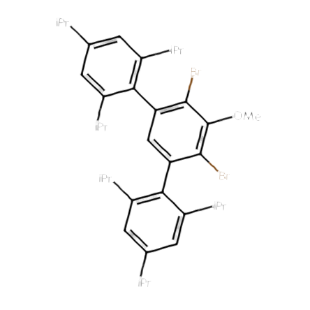 COc1c(Br)c(-c2c(C(C)C)cc(C(C)C)cc2C(C)C)cc(-c2c(C(C)C)cc(C(C)C)cc2C(C)C)c1Br